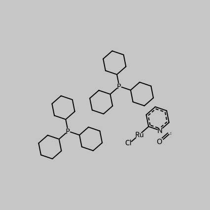 C1CCC(P(C2CCCCC2)C2CCCCC2)CC1.C1CCC(P(C2CCCCC2)C2CCCCC2)CC1.[C]=O.[Cl][Ru][c]1ccccn1